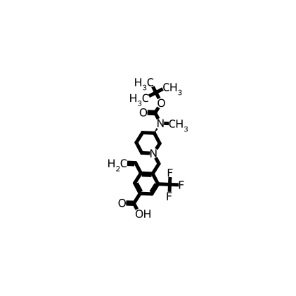 C=Cc1cc(C(=O)O)cc(C(F)(F)F)c1CN1CCC[C@H](N(C)C(=O)OC(C)(C)C)C1